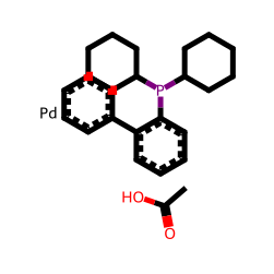 CC(=O)O.[Pd].c1ccc(-c2ccccc2P(C2CCCCC2)C2CCCCC2)cc1